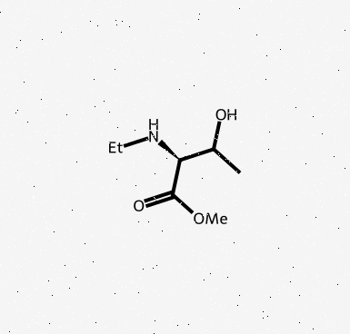 CCN[C@H](C(=O)OC)C(C)O